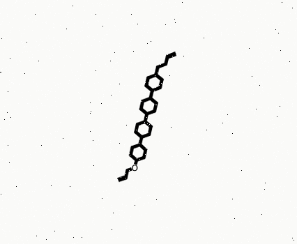 C=CCCC1CCC(C2CCC(C3CCC(C4CCC(OCC=C)CC4)CC3)CC2)CC1